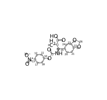 CC(C(=O)O)[C@H](NC(=O)Oc1ccc([N+](=O)[O-])cc1)c1ccc2c(c1)OCO2